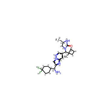 N#CC1(C(c2cnn3cc([C@@H](N)C4CCC(F)(F)CC4)nc3c2)N2C[C@@H](C(F)(F)F)NC2=O)CCC1